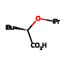 CCC(C)[C@H](OC(C)C)C(=O)O